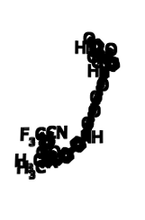 CC1(C)CN(Cc2ccc(-c3ccc(NCCOCCOCCOCCOCCNc4cccc5c4C(=O)N(C4CCC(=O)NC4=O)C5=O)cc3)cc2)C(=O)C1Oc1ccc(C#N)c(C(F)(F)F)c1